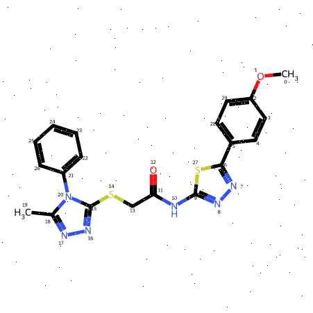 COc1ccc(-c2nnc(NC(=O)CSc3nnc(C)n3-c3ccccc3)s2)cc1